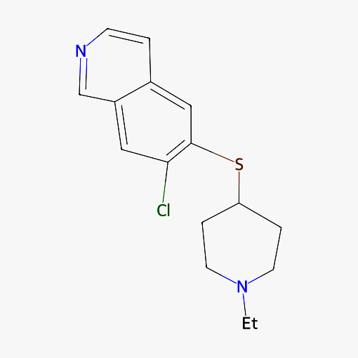 CCN1CCC(Sc2cc3ccncc3cc2Cl)CC1